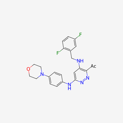 CC(=O)c1nnc(Nc2ccc(N3CCOCC3)cc2)cc1NCc1cc(F)ccc1F